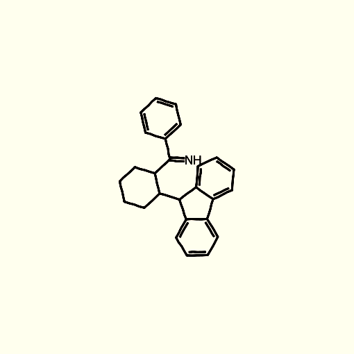 N=C(c1ccccc1)C1CCCCC1C1c2ccccc2-c2ccccc21